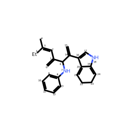 C=C(/C=C(/C)CC)C(Nc1ccccc1)C(=C)c1c[nH]c2c1=CCCC=2